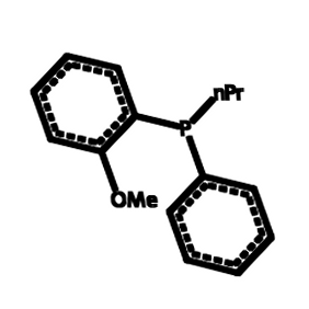 CCCP(c1ccccc1)c1ccccc1OC